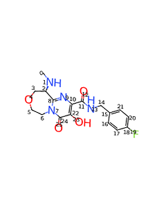 CN[C@@H]1COCCn2c1nc(C(=O)NCc1ccc(F)cc1)c(O)c2=O